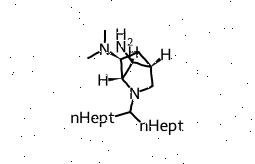 CCCCCCCC(CCCCCCC)N1C[C@H]2C[C@H](N(C)C)[C@@H]1[C@@H]2N